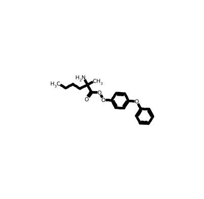 CCCCC(C)(N)C(=O)OOc1ccc(Oc2ccccc2)cc1